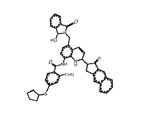 O=Cc1cc(SC2CCCC2)ccc1C(=O)Nc1ccc(CN2C(=O)c3ccccc3C2O)c2c1NC(C1Cc3cc4ccccc4cc3C1=O)C=C2